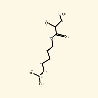 NC(CC(=O)O)C(=O)NCCCCON(O)O